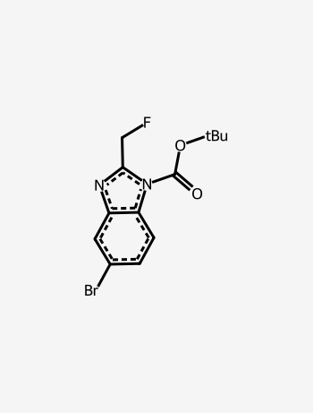 CC(C)(C)OC(=O)n1c(CF)nc2cc(Br)ccc21